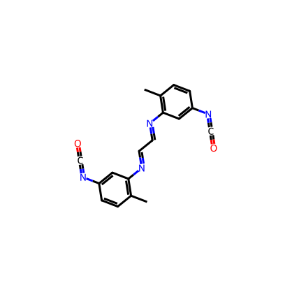 Cc1ccc(N=C=O)cc1N=CC=Nc1cc(N=C=O)ccc1C